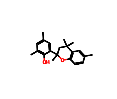 Cc1ccc2c(c1)C(C)(C)CC(C)(c1cc(C)cc(C)c1O)O2